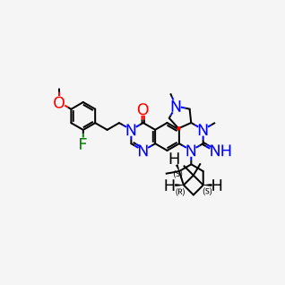 COc1ccc(CCn2cnc3cc(N(C(=N)N(C)C4CCN(C)C4)C4C[C@@H]5C[C@H]([C@@H]4C)C5(C)C)ccc3c2=O)c(F)c1